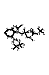 Cc1nc2cccc(B3OC(C)(C)C(C)(C)O3)c2n1CC(C)(O)CN(C)C(=O)OC(C)(C)C